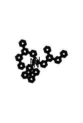 C1=CC(c2cc(-c3ccccc3)cc(C3C=C(c4nc(-c5cccc(C6=CC(c7ccccc7)CC(c7cccc(-c8ccccc8)c7)=C6)c5)nc(-c5ccc6c(c5)C5(c7ccccc7-c7ccccc75)c5ccccc5-6)n4)C=CC3)c2)=CC(c2ccccc2)C1